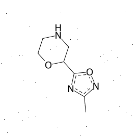 Cc1noc(C2CNCCO2)n1